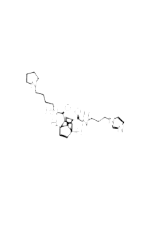 O=C(NCCCCN1CCCC1)[C@H]1[C@H](C(=O)NCCCn2ccnc2)[C@@H]2C=C[C@H]1C21CC1